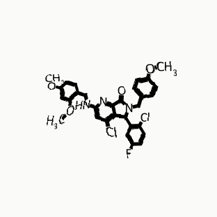 COc1ccc(CN2C(=O)c3nc(NCc4ccc(OC)cc4OC)cc(Cl)c3C2c2cc(F)ccc2Cl)cc1